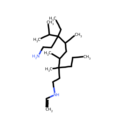 C=CNCCC(C)(CCC)C(C)CC(C)C(CC)(CCN)C(C)C